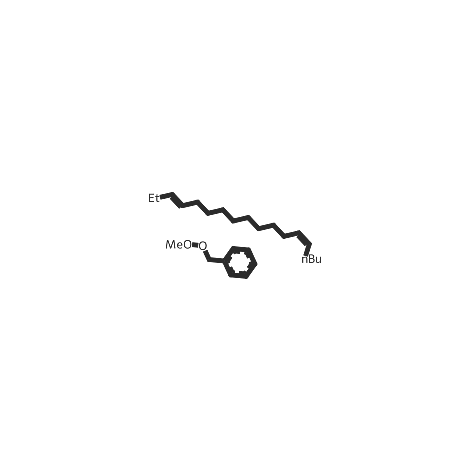 CC/C=C/CCCCCCCC/C=C\CCCC.COOCc1ccccc1